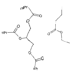 CCCC(=O)OCC.CCCC(=O)OCC(COC(=O)CCC)OC(=O)CCC